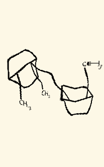 CC1C2CCC(CC2)C1CC1(C)C2CCC(CC2)C1C